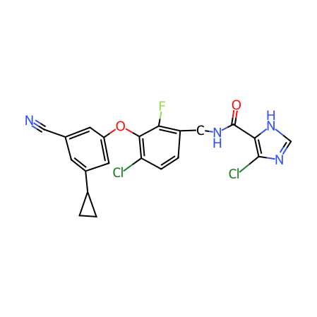 N#Cc1cc(Oc2c(Cl)ccc(CNC(=O)c3[nH]cnc3Cl)c2F)cc(C2CC2)c1